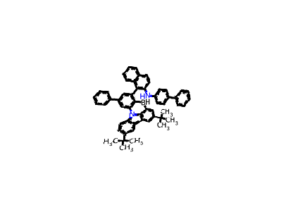 CC(C)(C)c1ccc2c(c1)c1cc(C(C)(C)C)cc3c1n2-c1cc(-c2ccccc2)cc(-c2c(Nc4ccc(-c5ccccc5)cc4)ccc4ccccc24)c1B3